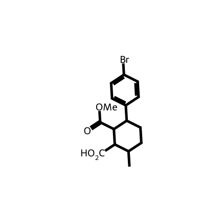 COC(=O)C1C(c2ccc(Br)cc2)CCC(C)C1C(=O)O